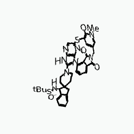 COc1ncc(CN2C(=O)c3ccccc3C2=O)cc1Sc1cnc2[nH]c(N3CCC4(CC3)Cc3ccccc3[C@H]4N[S+]([O-])C(C)(C)C)nc2n1